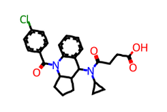 O=C(O)CCC(=O)N(C1CC1)C1c2ccccc2N(C(=O)c2ccc(Cl)cc2)C2CCCC21